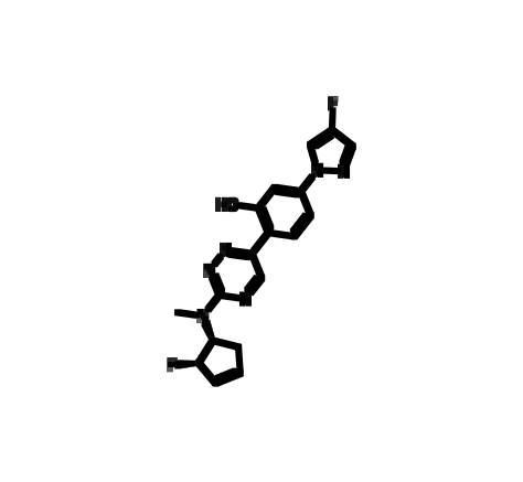 CN(c1ncc(-c2ccc(-n3cc(F)cn3)cc2O)nn1)[C@H]1CC=C[C@H]1F